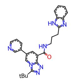 CC(C)(C)c1nnc2c(C(=O)NCCCc3nc4ccccc4[nH]3)cc(-c3cccnc3)cn12